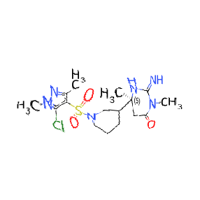 Cc1nn(C)c(Cl)c1S(=O)(=O)N1CCCC([C@]2(C)CC(=O)N(C)C(=N)N2)C1